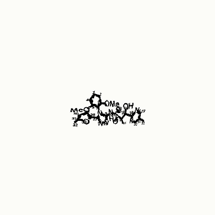 COc1cccc(OC)c1-n1c(NS(=O)(=O)C(C)C(O)c2ncc(C)cn2)nnc1-c1ccc(C)o1